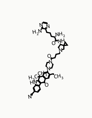 CCc1cc2c(cc1N1CCN(C(=O)CCCN3C[C@H](NC(=O)[C@@H](N)CCCc4nccnc4N)C4(CC4)C3)CC1)C(C)(C)c1[nH]c3cc(C#N)ccc3c1C2=O